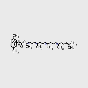 CC(C)=CCC/C(C)=C/CC/C(C)=C/CC/C(C)=C/C/C=C(\C)OC(=O)NC12CC3CC(C)(CC(C)(C3)C1)C2